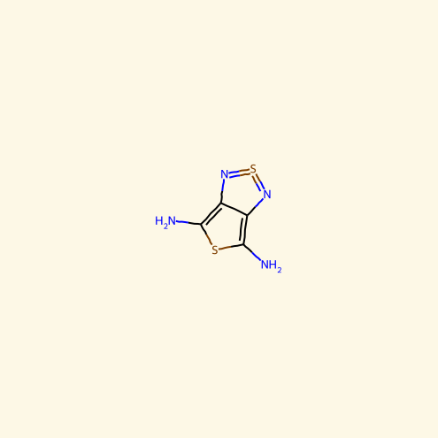 Nc1sc(N)c2c1N=S=N2